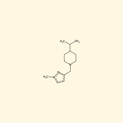 CC(C)C1CCN(Cc2ccn(C)n2)CC1